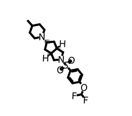 CC1CCN([C@@H]2C[C@@H]3CN(S(=O)(=O)c4ccc(OC(F)F)cc4)C[C@@H]3C2)CC1